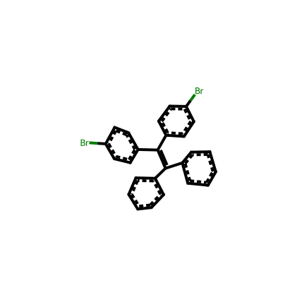 Brc1ccc(C(=C(c2ccccc2)c2ccccc2)c2ccc(Br)cc2)cc1